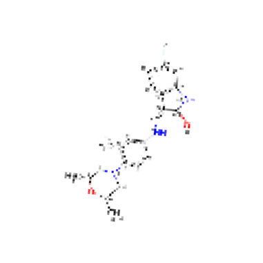 CC1CN(c2ccc(NC=C3C(=O)Nc4cc(F)ccc43)cc2C(F)(F)F)CC(C)O1